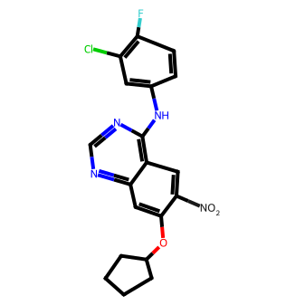 O=[N+]([O-])c1cc2c(Nc3ccc(F)c(Cl)c3)ncnc2cc1OC1CCCC1